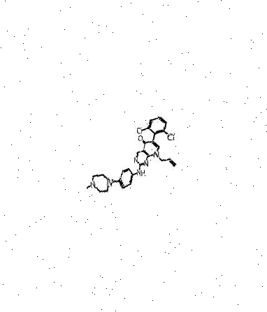 C=CCn1cc(-c2c(Cl)cccc2Cl)c(=O)c2cnc(Nc3ccc(N4CCN(C)CC4)cc3)nc21